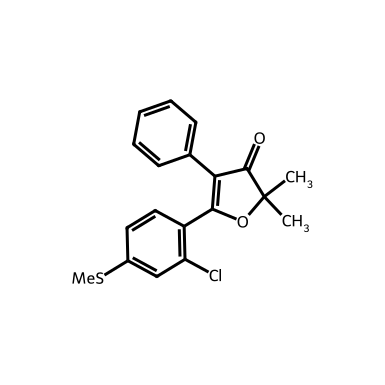 CSc1ccc(C2=C(c3ccccc3)C(=O)C(C)(C)O2)c(Cl)c1